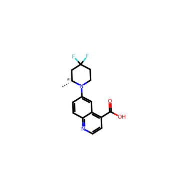 C[C@@H]1CC(F)(F)CCN1c1ccc2nccc(C(=O)O)c2c1